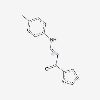 Cc1ccc(N/C=C/C(=O)c2cccs2)cc1